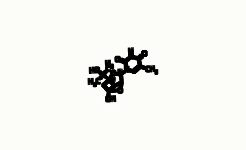 Cc1cn([C@@H]2O[C@@]3(C(C)(C)O)CC4(O)OC2C43)c(=O)[nH]c1=O